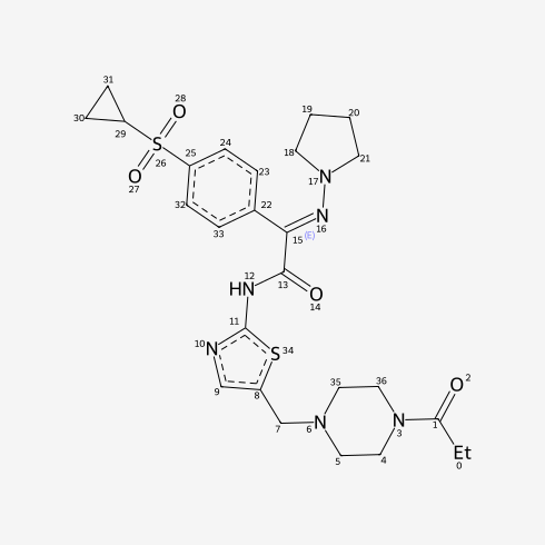 CCC(=O)N1CCN(Cc2cnc(NC(=O)/C(=N/N3CCCC3)c3ccc(S(=O)(=O)C4CC4)cc3)s2)CC1